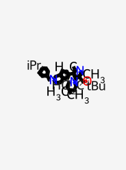 Cc1nc(C)c([C@H](OC(C)(C)C)C(=O)O)c(N2CCC(C)(C)CC2)c1-c1ccc2c(c1)CCN(Cc1ccc(C(C)C)cc1)C2